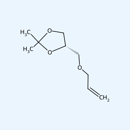 C=CCOC[C@H]1COC(C)(C)O1